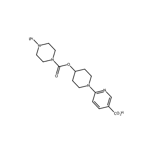 CC(C)N1CCN(C(=O)OC2CCN(c3ccc(C(=O)O)cn3)CC2)CC1